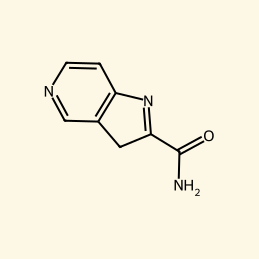 NC(=O)C1=Nc2ccncc2C1